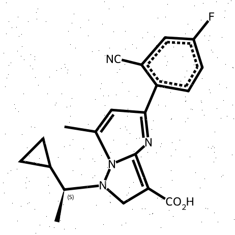 CC1=CC(c2ccc(F)cc2C#N)=NC2=C(C(=O)O)CN([C@@H](C)C3CC3)N12